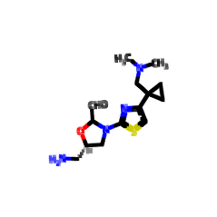 CN(C)CC1(c2csc(N3C[C@H](CN)OC3C=O)n2)CC1